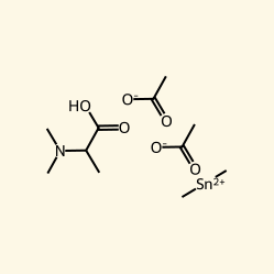 CC(=O)[O-].CC(=O)[O-].CC(C(=O)O)N(C)C.[CH3][Sn+2][CH3]